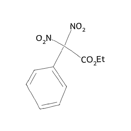 CCOC(=O)C(c1ccccc1)([N+](=O)[O-])[N+](=O)[O-]